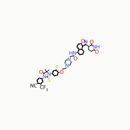 CC1(C)C(=O)N(c2ccc(C#N)c(C(F)(F)F)c2)C(=S)N1c1ccc(OCCN2CCN(CC(=O)Nc3cccc4c3ccc3onc(C5CCC(=O)NC5=O)c34)CC2)c(F)c1